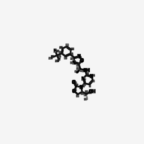 C[C@H](Nc1nccc(N2C(=O)OCC2[C@@H](C)O)n1)c1nc(-c2cccc(C(F)(F)F)c2)no1